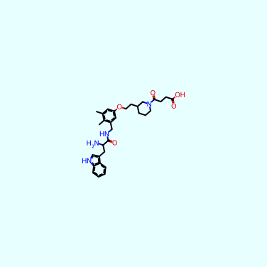 Cc1cc(OCCC2CCCN(C(=O)CCC(=O)O)C2)cc(CNC(=O)C(N)Cc2c[nH]c3ccccc23)c1C